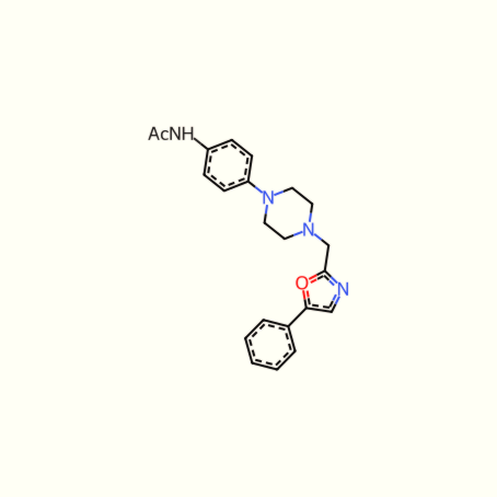 CC(=O)Nc1ccc(N2CCN(Cc3ncc(-c4ccccc4)o3)CC2)cc1